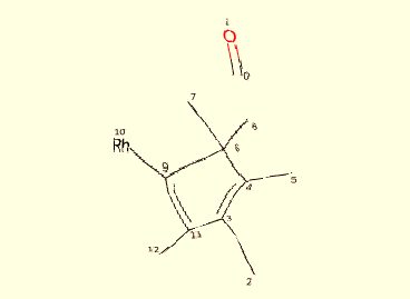 C=O.CC1=C(C)C(C)(C)[C]([Rh])=C1C